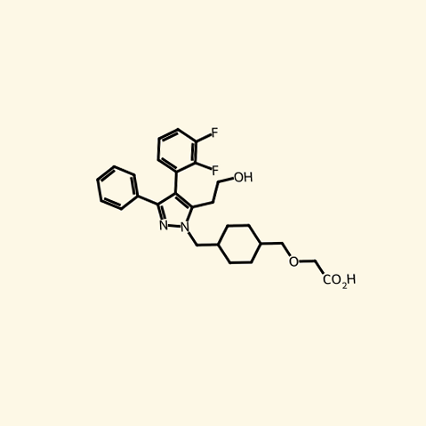 O=C(O)COCC1CCC(Cn2nc(-c3ccccc3)c(-c3cccc(F)c3F)c2CCO)CC1